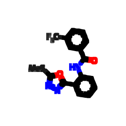 CSc1nnc(-c2ccccc2NC(=O)c2cccc(C(F)(F)F)c2)o1